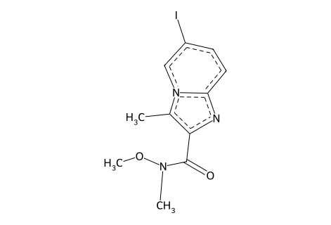 CON(C)C(=O)c1nc2ccc(I)cn2c1C